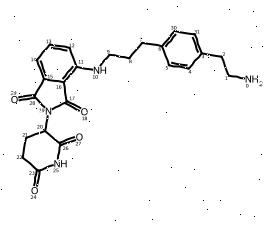 NCCc1ccc(CCCNc2cccc3c2C(=O)N(C2CCC(=O)NC2=O)C3=O)cc1